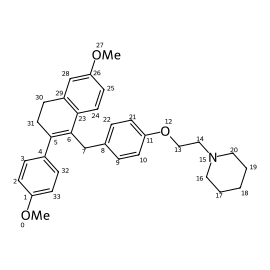 COc1ccc(C2=C(Cc3ccc(OCCN4CCCCC4)cc3)c3ccc(OC)cc3CC2)cc1